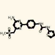 CS(=O)(=O)Cc1cc(N)nc(-c2ccc(NC(=O)Nc3cccs3)cc2)n1